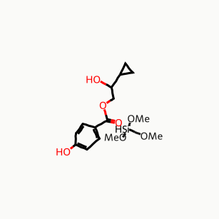 CO[SiH](OC)OC.O=C(OCC(O)C1CC1)c1ccc(O)cc1